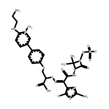 C[n+]1cc(-c2ccc(OCC(O/N=C(\C(=O)N[C@@H]3C(=O)N(OS(=O)(=O)[O-])C3(C)C)c3nc(N)sc3Cl)C(=O)O)cc2)ccc1NCCN